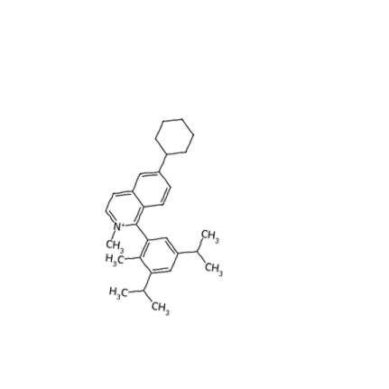 Cc1c(-c2c3ccc(C4CCCCC4)cc3cc[n+]2C)cc(C(C)C)cc1C(C)C